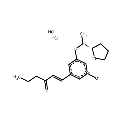 CCCC(=O)C=Cc1cc(OC(C)[C@@H]2CCCN2)c[n+]([O-])c1.Cl.Cl